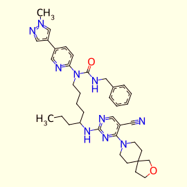 CCCC(CCCCN(C(=O)NCc1ccccc1)c1ccc(-c2cnn(C)c2)cn1)Nc1ncc(C#N)c(N2CCC3(CCOC3)CC2)n1